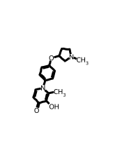 Cc1c(O)c(=O)ccn1-c1ccc(OC2CCN(C)C2)cc1